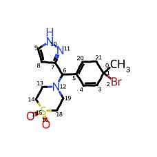 CC1(Br)C=CC(C(c2cc[nH]n2)N2CCS(=O)(=O)CC2)=CC1